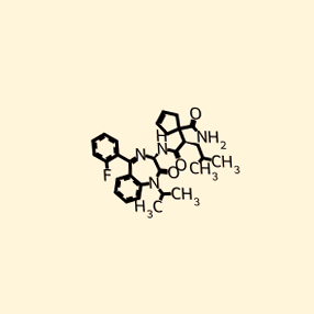 CC(C)C[C@@H](C(=O)N[C@@H]1N=C(c2ccccc2F)c2ccccc2N(C(C)C)C1=O)C1(C(N)=O)CC=CC1